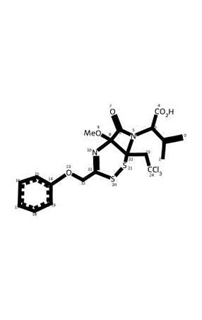 C=C(C)C(C(=O)O)N1C(=O)C2(OC)N=C(COc3ccccc3)SSC12CC(Cl)(Cl)Cl